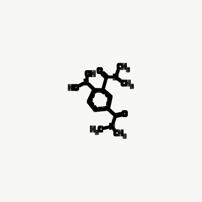 CN(C)C(=O)c1ccc(B(O)O)c(C(=O)N(C)C)c1